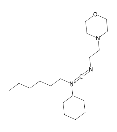 CCCCCC[N+](=C=NCCN1CCOCC1)C1CCCCC1